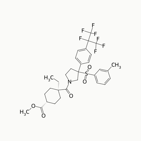 CC[C@]1(C(=O)N2CCC(c3ccc(C(F)(C(F)(F)F)C(F)(F)F)cc3)(S(=O)(=O)c3cccc(C)c3)C2)CC[C@H](C(=O)OC)CC1